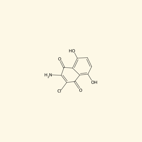 NC1=C(Cl)C(=O)c2c(O)ccc(O)c2C1=O